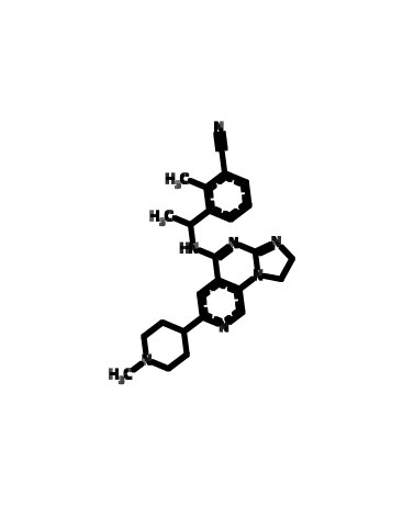 Cc1c(C#N)cccc1C(C)NC1=NC2=NCCN2c2cnc(C3CCN(C)CC3)cc21